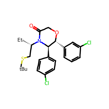 CC[C@@H](CSC(C)(C)C)N1C(=O)CO[C@H](c2cccc(Cl)c2)[C@H]1c1ccc(Cl)cc1